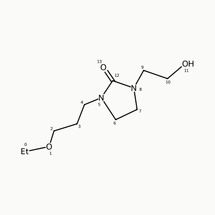 CCOCCCN1CCN(CCO)C1=O